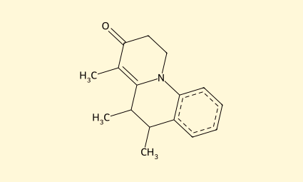 CC1=C2C(C)C(C)c3ccccc3N2CCC1=O